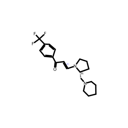 O=C(/C=C/N1CCC[C@@H]1CN1CCCCC1)c1ccc(C(F)(F)F)cc1